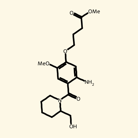 COC(=O)CCCOc1cc(N)c(C(=O)N2CCCCC2CO)cc1OC